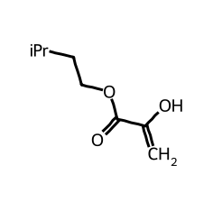 C=C(O)C(=O)OCCC(C)C